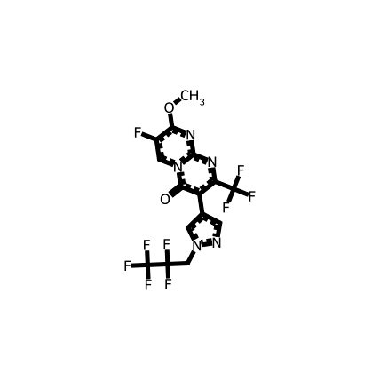 COc1nc2nc(C(F)(F)F)c(-c3cnn(CC(F)(F)C(F)(F)F)c3)c(=O)n2cc1F